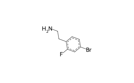 NCCc1ccc(Br)cc1F